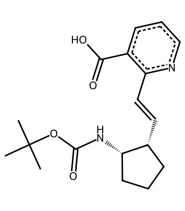 CC(C)(C)OC(=O)N[C@H]1CCC[C@H]1C=Cc1ncccc1C(=O)O